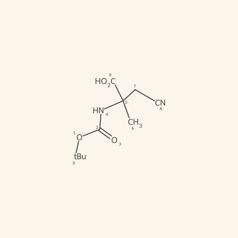 CC(C)(C)OC(=O)NC(C)(CC#N)C(=O)O